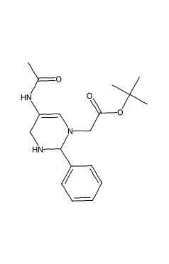 CC(=O)NC1=CN(CC(=O)OC(C)(C)C)C(c2ccccc2)NC1